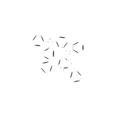 O=P1(c2ccccc2)c2ccccc2-c2c1ccc1c3ccccc3n(-c3cc(-c4ccccc4)nc(-c4ccccc4)n3)c21